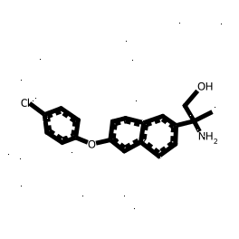 CC(N)(CO)c1ccc2cc(Oc3ccc(Cl)cc3)ccc2c1